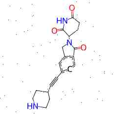 O=C1CCC(N2Cc3cc(C#CC4CCNCC4)ccc3C2=O)C(=O)N1